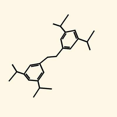 CC(C)c1cc(CCc2cc(C(C)C)cc(C(C)C)c2)cc(C(C)C)c1